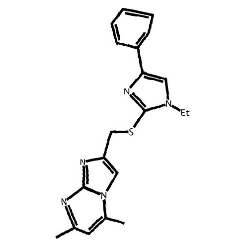 CCn1cc(-c2ccccc2)nc1SCc1cn2c(C)cc(C)nc2n1